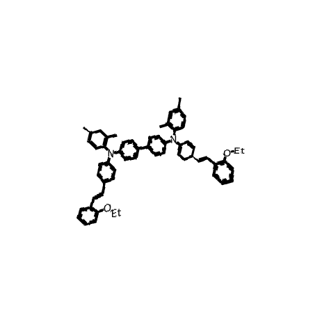 CCOc1ccccc1/C=C/c1ccc(N(C2=C(C)C[C@H](C)C=C2)c2ccc(-c3ccc(N(C4=CC[C@H](/C=C/c5ccccc5OCC)C=C4)c4ccc(C)cc4C)cc3)cc2)cc1